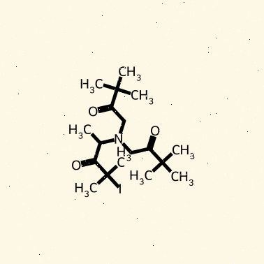 CC(C(=O)C(C)(C)I)N(CC(=O)C(C)(C)C)CC(=O)C(C)(C)C